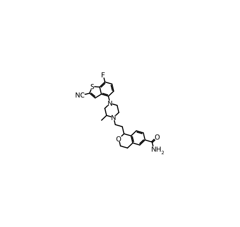 CC1CN(c2ccc(F)c3sc(C#N)cc23)CCN1CCC1OCCc2cc(C(N)=O)ccc21